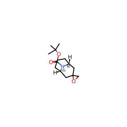 CC(C)(C)OC(=O)N1[C@@H]2CCC[C@H]1CC1(CO1)C2